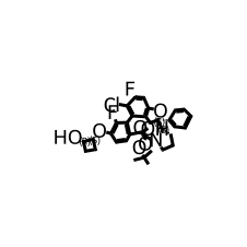 CC(C)(C)OC(=O)N1CCC[C@H]1[C@@]1(c2ccccc2)Cc2c(cc(F)c(Cl)c2-c2c(C(=O)O)ccc(O[C@H]3CC[C@H]3O)c2F)O1